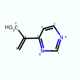 C=C(C(=O)O)c1ccncn1